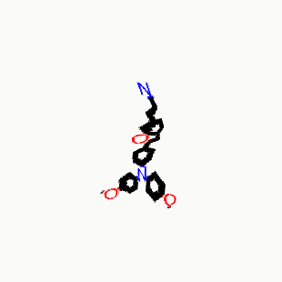 COc1ccc(N(c2ccc(OC)cc2)c2ccc(-c3cc4ccc(C=CC#N)cc4o3)cc2)cc1